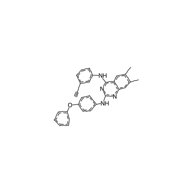 C#Cc1cccc(Nc2nc(Nc3ccc(Oc4ccccc4)cc3)nc3cc(C)c(C)cc23)c1